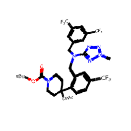 COC1(c2ccc(C(F)(F)F)cc2CN(Cc2cc(C(F)(F)F)cc(C(F)(F)F)c2)c2nnn(C)n2)CCN(C(=O)OC(C)(C)C)CC1